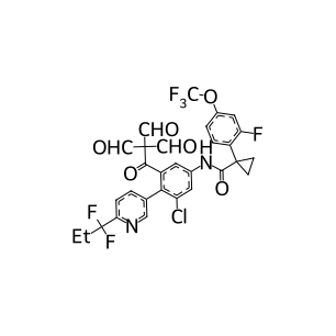 CCC(F)(F)c1ccc(-c2c(Cl)cc(NC(=O)C3(c4ccc(OC(F)(F)F)cc4F)CC3)cc2C(=O)C(C=O)(C=O)C=O)cn1